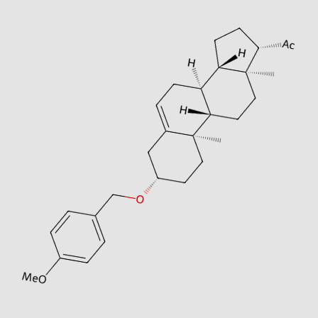 COc1ccc(CO[C@H]2CC[C@@]3(C)C(=CC[C@H]4[C@@H]5CC[C@H](C(C)=O)[C@@]5(C)CC[C@@H]43)C2)cc1